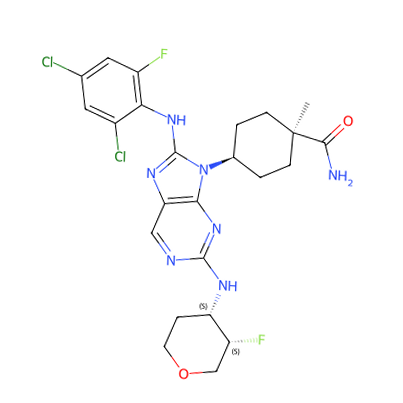 C[C@]1(C(N)=O)CC[C@@H](n2c(Nc3c(F)cc(Cl)cc3Cl)nc3cnc(N[C@H]4CCOC[C@H]4F)nc32)CC1